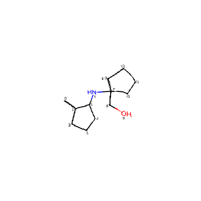 CC1CCCC1NC1(CO)CCCC1